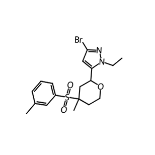 CCn1nc(Br)cc1C1CC(C)(S(=O)(=O)c2cccc(C)c2)CCO1